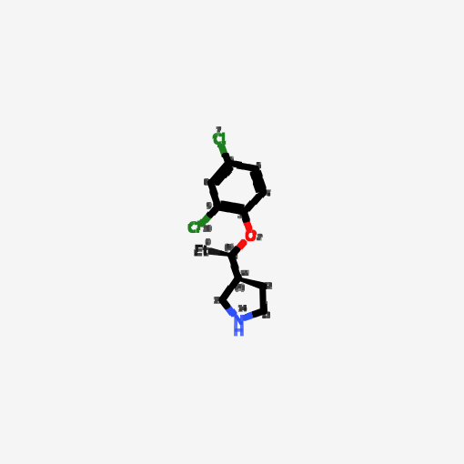 CC[C@@H](Oc1ccc(Cl)cc1Cl)[C@H]1CCNC1